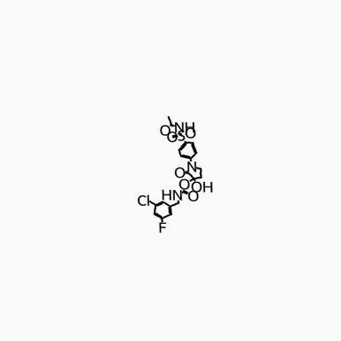 CC(=O)NS(=O)(=O)c1ccc(N2CCC(O)(OC(=O)NCc3cc(F)cc(Cl)c3)C2=O)cc1